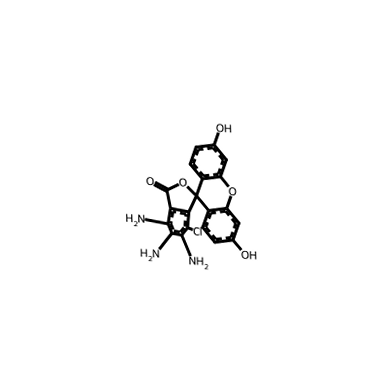 Nc1c(N)c(Cl)c2c(c1N)C(=O)OC21c2ccc(O)cc2Oc2cc(O)ccc21